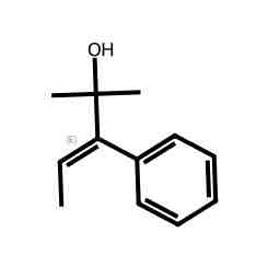 C/C=C(\c1ccccc1)C(C)(C)O